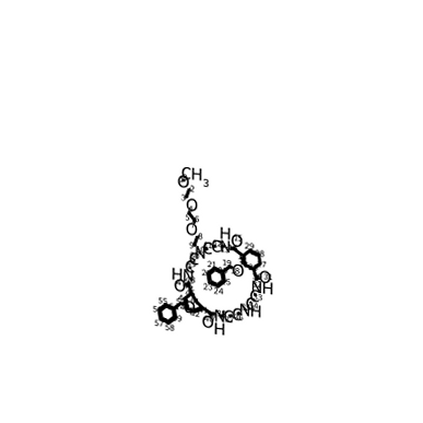 COCCOCCOCCN1CCNC(=O)C2=C(OCc3ccccc3)C(CC=C2)C(=O)NCCNCCNC(=O)C2=CC=CC(C(=O)NCC1)C2OCc1ccccc1